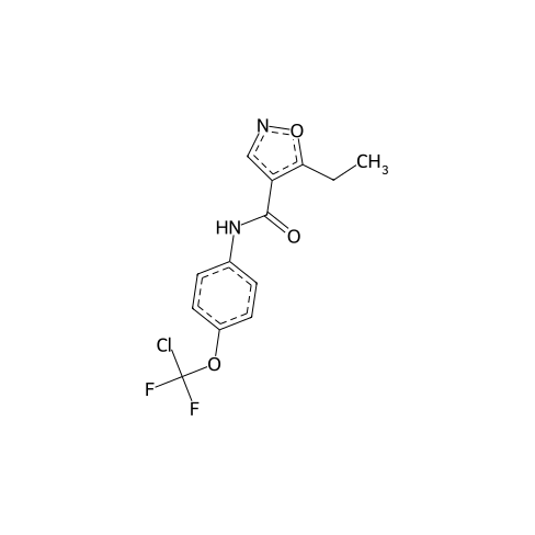 CCc1oncc1C(=O)Nc1ccc(OC(F)(F)Cl)cc1